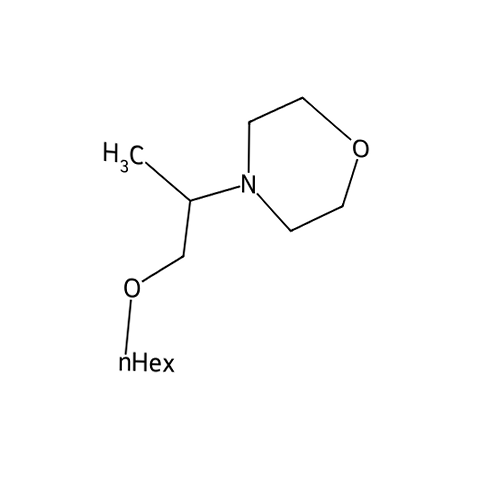 CCCCCCOCC(C)N1CCOCC1